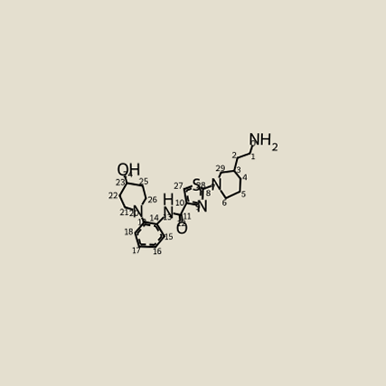 NCCC1CCCN(c2nc(C(=O)Nc3ccccc3N3CCC(O)CC3)cs2)C1